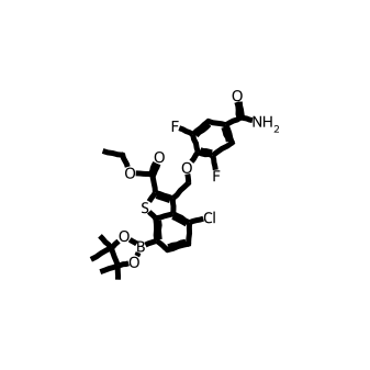 CCOC(=O)c1sc2c(B3OC(C)(C)C(C)(C)O3)ccc(Cl)c2c1COc1c(F)cc(C(N)=O)cc1F